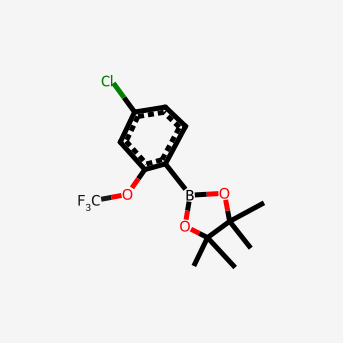 CC1(C)OB(c2ccc(Cl)cc2OC(F)(F)F)OC1(C)C